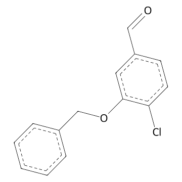 O=Cc1ccc(Cl)c(OCc2ccccc2)c1